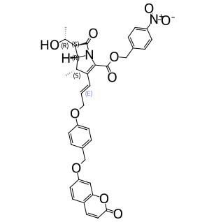 C[C@@H](O)[C@H]1C(=O)N2C(C(=O)OCc3ccc([N+](=O)[O-])cc3)=C(/C=C/COc3ccc(COc4ccc5ccc(=O)oc5c4)cc3)[C@H](C)[C@H]12